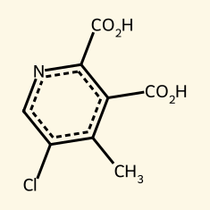 Cc1c(Cl)cnc(C(=O)O)c1C(=O)O